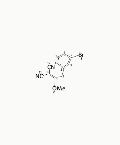 COC(Cc1cccc(Br)c1)=C(C#N)C#N